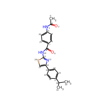 CC(=O)Nc1ccc(C(=O)Nc2nc(-c3ccc(C(C)C)cc3)cs2)cc1